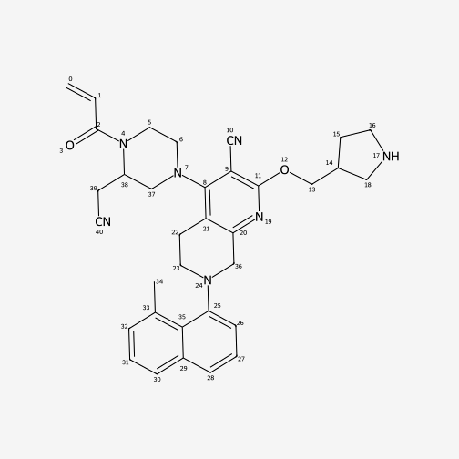 C=CC(=O)N1CCN(c2c(C#N)c(OCC3CCNC3)nc3c2CCN(c2cccc4cccc(C)c24)C3)CC1CC#N